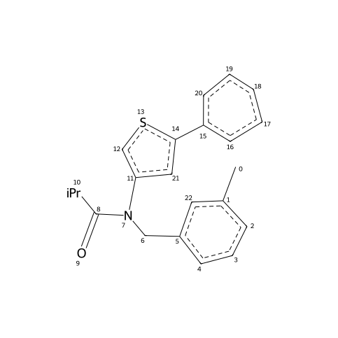 Cc1cccc(CN(C(=O)C(C)C)c2csc(-c3ccccc3)c2)c1